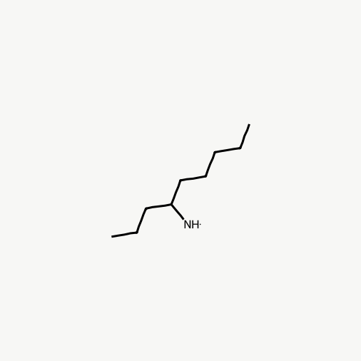 CCCCCC([NH])CCC